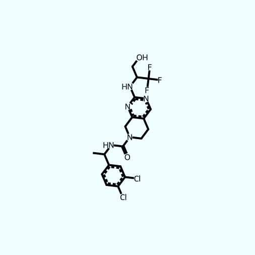 CC(NC(=O)N1CCc2cnc(NC(CO)C(F)(F)F)nc2C1)c1ccc(Cl)c(Cl)c1